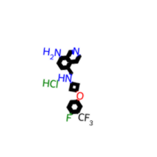 Cl.Nc1ccc(CNC2CC(Oc3ccc(F)c(C(F)(F)F)c3)C2)c2ccncc12